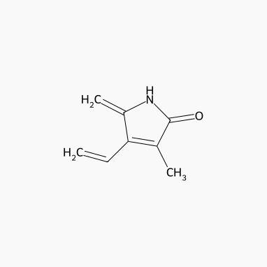 C=CC1=C(C)C(=O)NC1=C